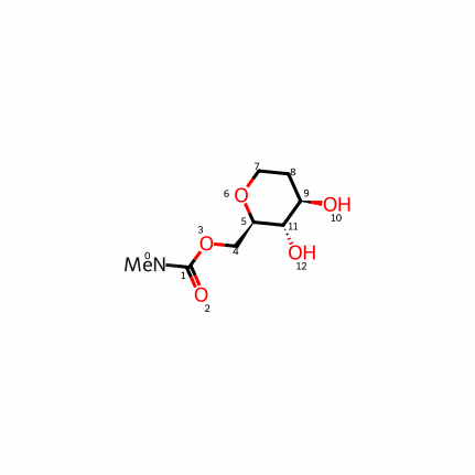 CNC(=O)OC[C@H]1OCC[C@@H](O)[C@@H]1O